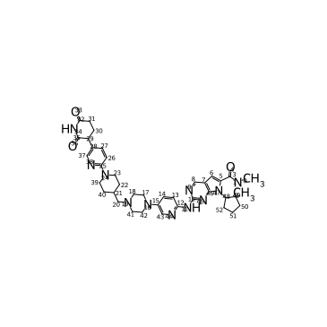 CN(C)C(=O)c1cc2cnc(Nc3ccc(N4CCN(CC5CCN(c6ccc(C7CCC(=O)NC7=O)cn6)CC5)CC4)cn3)nc2n1C1CCCC1